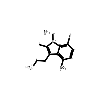 Cc1c(CCC(=O)O)c2c([N+](=O)[O-])ccc(F)c2n1C.N